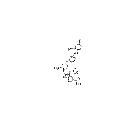 CC1CC(Oc2ccnc(COC3=CC=C(F)CC3C#N)n2)CCN1Cc1nc2ccc(C(=O)O)cc2n1CC1CCOC1